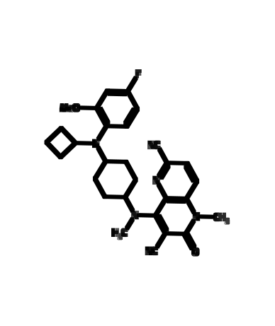 COc1cc(F)ccc1N(C1CCC1)C1CCC(N(C)c2c(C#N)c(=O)n(C)c3ccc(C#N)nc23)CC1